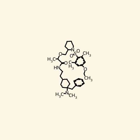 CCOc1cc(C)c(S(=O)(=O)N2CCCCC2COC(C)C(=O)NCCC2CCC(Cc3ccccc3)(N(C)C)CC2)c(C)c1